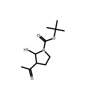 CC(=O)C1CCN(C(=O)OC(C)(C)C)C1S